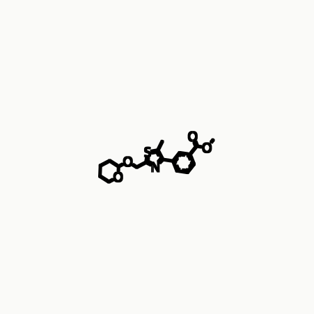 COC(=O)c1cccc(-c2nc(COC3CCCCO3)sc2C)c1